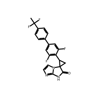 CC(F)(F)c1ccc(-c2cc(F)c(C3CC34C(=O)Nc3nccn34)c(F)c2)cc1